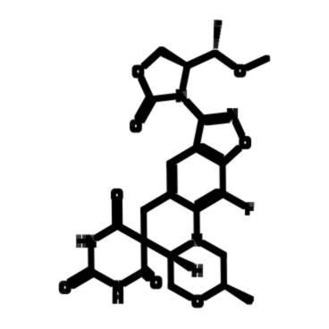 CO[C@@H](C)[C@@H]1COC(=O)N1c1noc2c(F)c3c(cc12)CC1(C(=O)NC(=O)NC1=O)[C@H]1CO[C@H](C)CN31